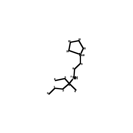 CCCC(C)(CC)NCCN1CCCC1